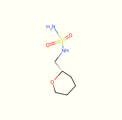 NS(=O)(=O)NC[C@@H]1CCCCO1